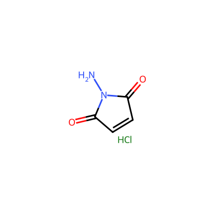 Cl.NN1C(=O)C=CC1=O